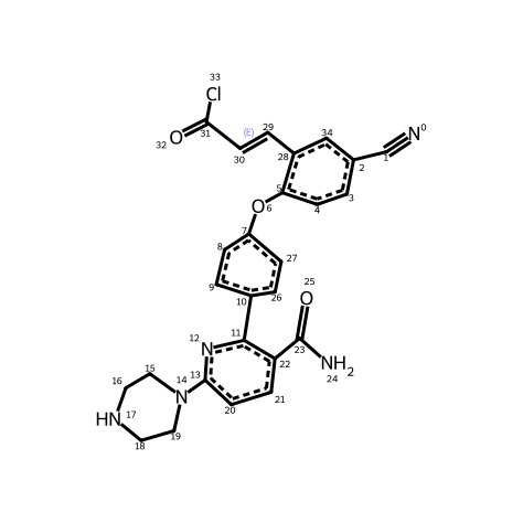 N#Cc1ccc(Oc2ccc(-c3nc(N4CCNCC4)ccc3C(N)=O)cc2)c(/C=C/C(=O)Cl)c1